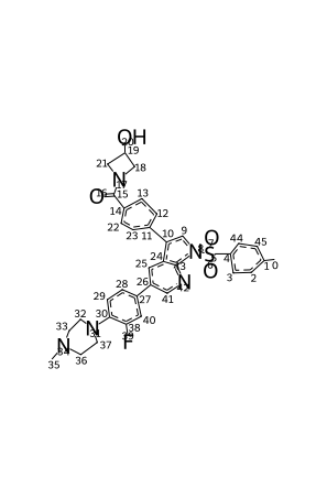 Cc1ccc(S(=O)(=O)n2cc(-c3ccc(C(=O)N4CC(O)C4)cc3)c3cc(-c4ccc(N5CCN(C)CC5)c(F)c4)cnc32)cc1